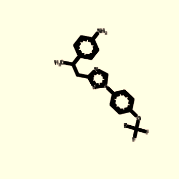 CC(Cc1ncn(-c2ccc(OC(F)(F)F)cc2)n1)c1ccc(N)cc1